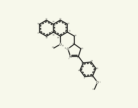 COc1ccc(C2=NOC(Cc3ccc4ccccc4c3OC)C2)cc1